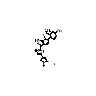 CCc1cc(O)ccc1-c1ccc2c(-c3nc(C4=CC(C)NC4)c[nH]3)n[nH]c2c1F